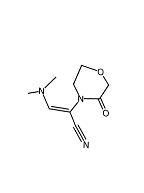 CN(C)/C=C(/C#N)N1CCOCC1=O